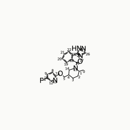 CC1CCC(COc2ccc(F)cn2)CN1C(=O)c1ccccc1-c1ncn[nH]1